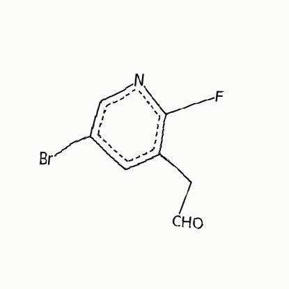 O=CCc1cc(Br)cnc1F